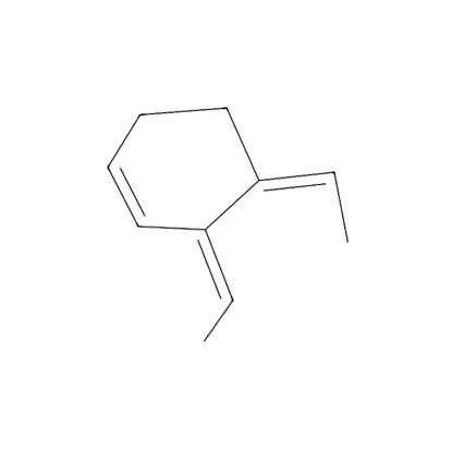 CC=C1C=CCCC1=CC